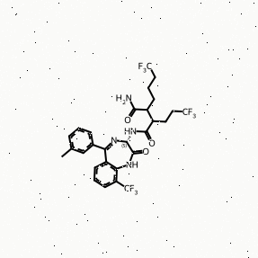 Cc1cccc(C2=N[C@H](NC(=O)C(CCC(F)(F)F)C(CCCC(F)(F)F)C(N)=O)C(=O)Nc3c2cccc3C(F)(F)F)c1